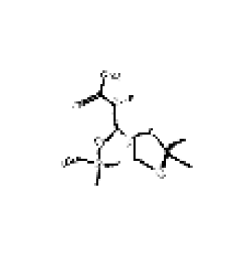 COC(=O)[C@H](F)C(O[Si](C)(C)C(C)(C)C)[C@H]1COC(C)(C)O1